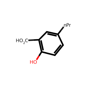 CCCc1ccc(O)c(C(=O)O)c1